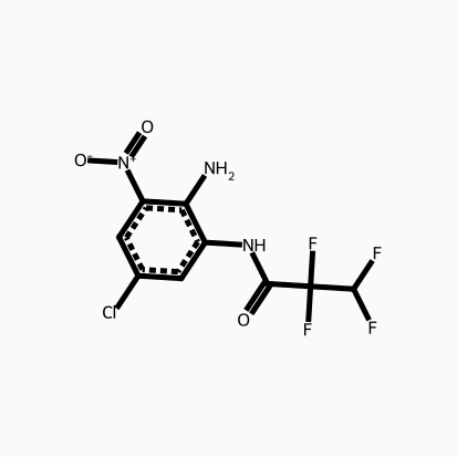 Nc1c(NC(=O)C(F)(F)C(F)F)cc(Cl)cc1[N+](=O)[O-]